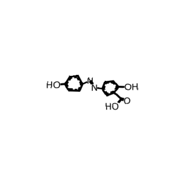 O=C(O)c1cc(N=Nc2ccc(O)cc2)ccc1O